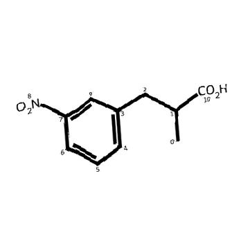 CC(Cc1cccc([N+](=O)[O-])c1)C(=O)O